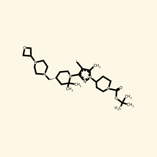 Cc1c(I)c(N2CC[C@@H](CN3CCN(C4COC4)CC3)CC2(C)C)nn1C1CCN(C(=O)OC(C)(C)C)CC1